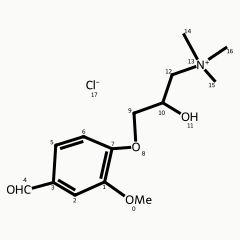 COc1cc(C=O)ccc1OCC(O)C[N+](C)(C)C.[Cl-]